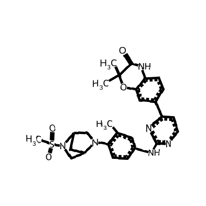 Cc1cc(Nc2nccc(-c3ccc4c(c3)OC(C)(C)C(=O)N4)n2)ccc1N1CC2CC1CN2S(C)(=O)=O